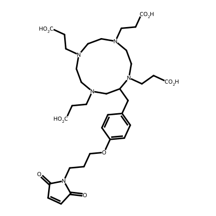 O=C(O)CCN1CCN(CCC(=O)O)CCN(CCC(=O)O)C(Cc2ccc(OCCCN3C(=O)C=CC3=O)cc2)CN(CCC(=O)O)CC1